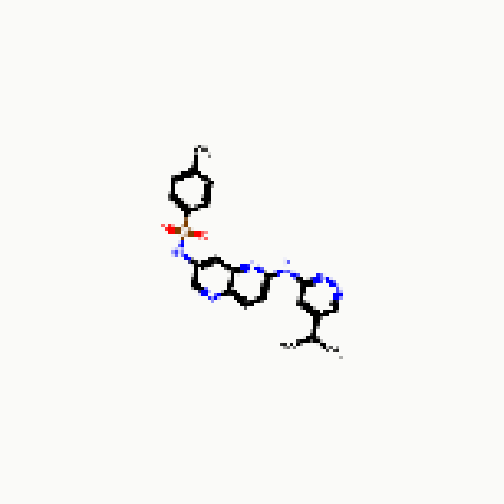 Cc1ccc(S(=O)(=O)Nc2cnc3ccc(Nc4cc(C(C)C)cnn4)nc3c2)cc1